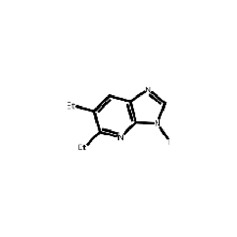 CCc1cc2ncn(I)c2nc1CC